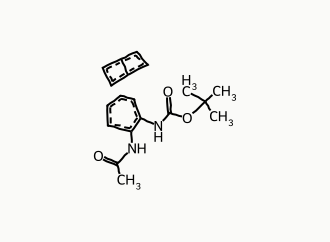 CC(=O)Nc1ccccc1NC(=O)OC(C)(C)C.c1cc2ccc1-2